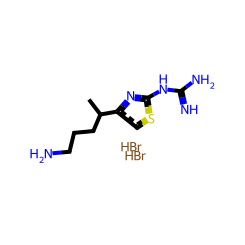 Br.Br.CC(CCCN)c1csc(NC(=N)N)n1